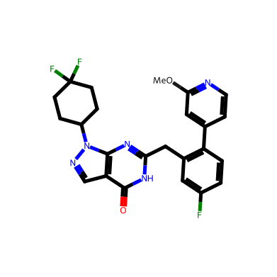 COc1cc(-c2ccc(F)cc2Cc2nc3c(cnn3C3CCC(F)(F)CC3)c(=O)[nH]2)ccn1